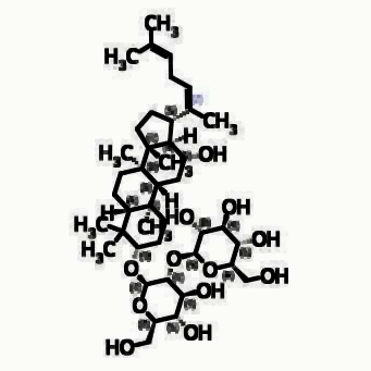 CC(C)=CC/C=C(/C)[C@H]1CC[C@]2(C)[C@@H]1[C@H](O)C[C@@H]1[C@@]3(C)CC[C@H](O[C@@H]4O[C@H](CO)[C@@H](O)[C@H](O)[C@H]4O[C@@H]4O[C@H](CO)[C@@H](O)[C@H](O)[C@H]4O)C(C)(C)[C@@H]3CC[C@]12C